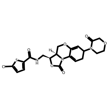 O=C(NC[C@@H]1OC(=O)N2C3=CCC(N4CCOCC4=O)C=C3OC[C@H]12)c1ccc(Cl)s1